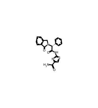 NC(=O)c1csc(NC(=O)[C@@H](c2ccccc2)N2Cc3ccccc3C2=O)n1